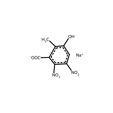 Cc1c(O)cc([N+](=O)[O-])c([N+](=O)[O-])c1C(=O)[O-].[Na+]